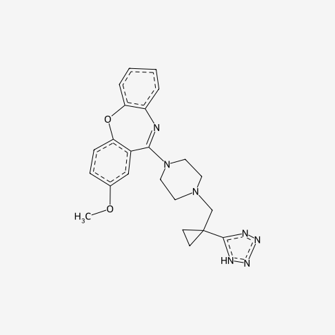 COc1ccc2c(c1)C(N1CCN(CC3(c4nnn[nH]4)CC3)CC1)=Nc1ccccc1O2